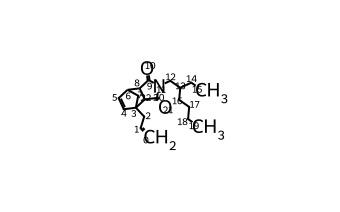 C=CCC12C=CC(C1)C1C(=O)N(CC(CC)CCCC)C(=O)C12